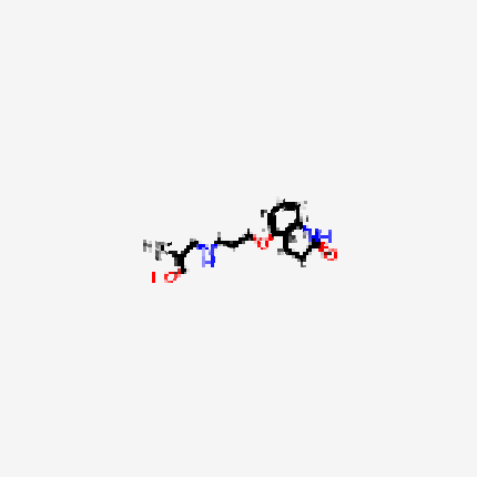 CC(CO)CNCCCOc1cccc2c1CCC(=O)N2